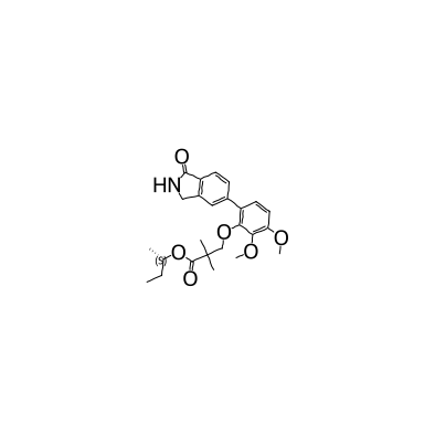 CC[C@H](C)OC(=O)C(C)(C)COc1c(-c2ccc3c(c2)CNC3=O)ccc(OC)c1OC